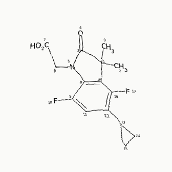 CC1(C)C(=O)N(CC(=O)O)c2c(F)cc(C3CC3)c(F)c21